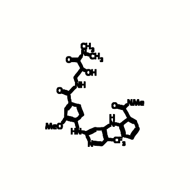 CNC(=O)c1ccccc1Nc1cc(Nc2ccc(C(=O)NCC(O)C(=O)N(C)C)cc2OC)ncc1C(F)(F)F